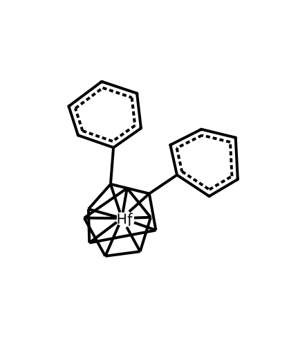 c1ccc([C]23[CH]4[CH]5[CH]6[C]2(c2ccccc2)[Hf]54632789[CH]3[CH]2[CH]7[CH]8[CH]39)cc1